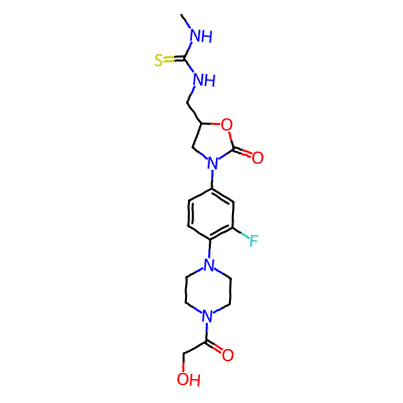 CNC(=S)NCC1CN(c2ccc(N3CCN(C(=O)CO)CC3)c(F)c2)C(=O)O1